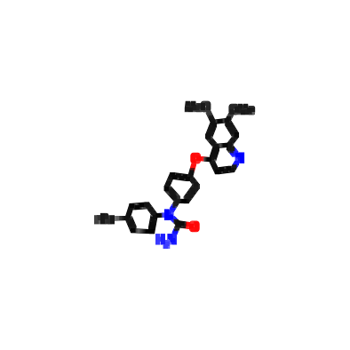 CCCCc1ccc(N(C(N)=O)c2ccc(Oc3ccnc4cc(OC)c(OC)cc34)cc2)cc1